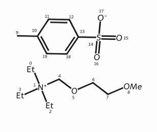 CC[N+](CC)(CC)COCCOC.Cc1ccc(S(=O)(=O)[O-])cc1